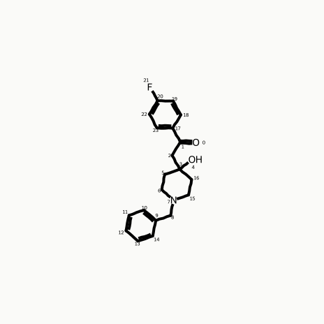 O=C(CC1(O)CCN(Cc2ccccc2)CC1)c1ccc(F)cc1